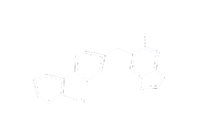 CCCc1nc2ccnn2cc1Cc1ccc(-c2ccccc2C#N)cc1